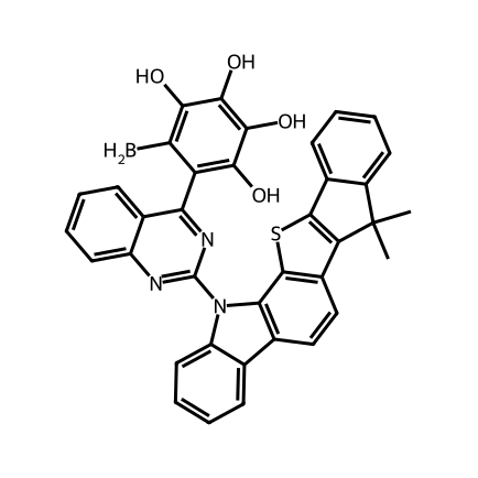 Bc1c(O)c(O)c(O)c(O)c1-c1nc(-n2c3ccccc3c3ccc4c5c(sc4c32)-c2ccccc2C5(C)C)nc2ccccc12